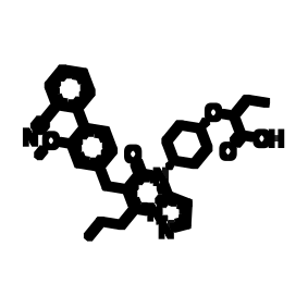 CCCc1c(Cc2ccc(-c3ccccc3C#N)c(OC)c2)c(=O)n([C@H]2CC[C@H](OC(CC)C(=O)O)CC2)c2ccnn12